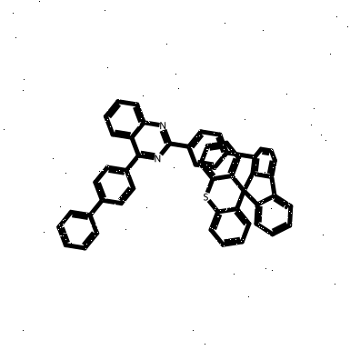 c1ccc(-c2ccc(-c3nc(-c4ccc(-c5cccc6c5C5(c7ccccc7Sc7ccccc75)c5ccccc5-6)cc4)nc4ccccc34)cc2)cc1